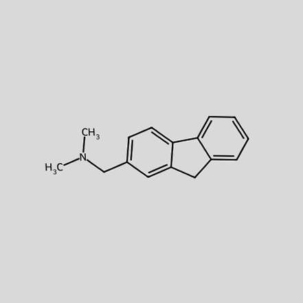 CN(C)Cc1ccc2c(c1)Cc1ccccc1-2